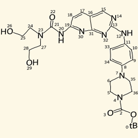 CC(C)(C)OC(=O)N1CCN(c2ccc(Nc3ncc4ccc(NC(=O)N(CCO)CCO)nc4n3)cc2)CC1